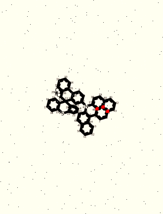 c1ccc(-c2c(N(c3ccc4c(c3)C3(c5ccccc5Sc5ccccc53)c3cccc5cccc-4c35)c3ccc4ccccc4c3)ccc3ccccc23)cc1